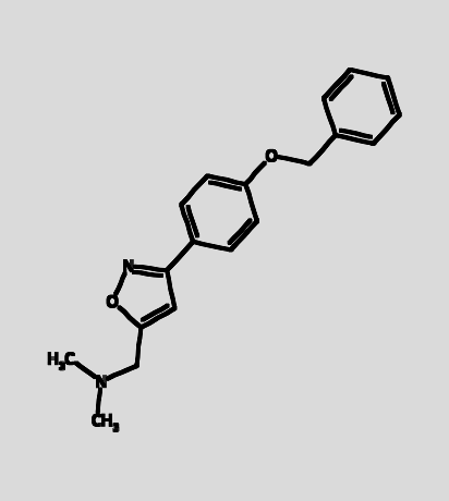 CN(C)Cc1cc(-c2ccc(OCc3ccccc3)cc2)no1